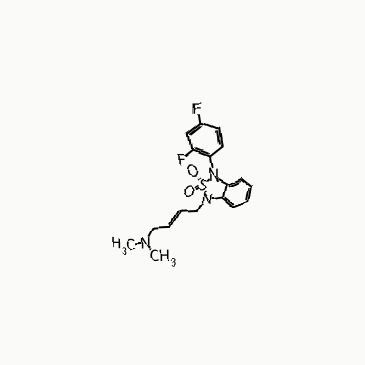 CN(C)CC=CCN1c2ccccc2N(c2ccc(F)cc2F)S1(=O)=O